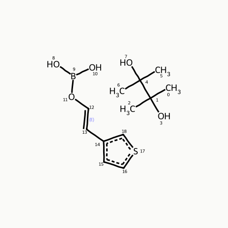 CC(C)(O)C(C)(C)O.OB(O)O/C=C/c1ccsc1